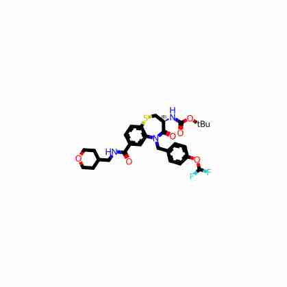 CC(C)(C)OC(=O)N[C@H]1CSc2ccc(C(=O)NCC3CCOCC3)cc2N(Cc2ccc(OC(F)F)cc2)C1=O